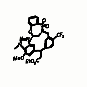 CCOC(=O)CC(c1ccc(C(F)(F)F)c(CN2C[C@@H](C)Oc3ccccc3S2(=O)=O)c1)c1cc(OC)c2c(c1)nnn2C